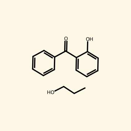 CCCO.O=C(c1ccccc1)c1ccccc1O